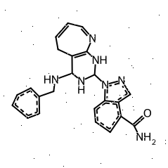 NC(=O)c1cccc2c1cnn2C1NC2=C(CC=CC=N2)C(NCc2ccccc2)N1